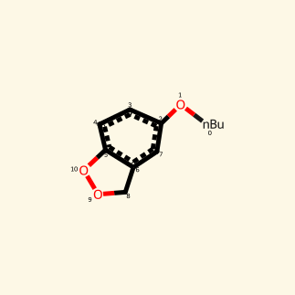 CCCCOc1ccc2c(c1)COO2